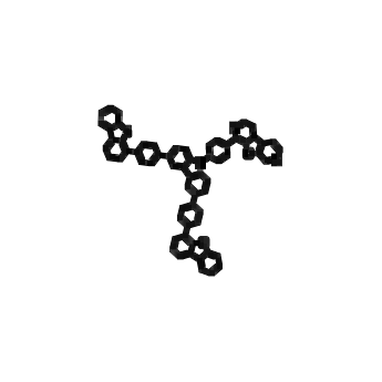 c1ccc2c(c1)oc1c(-c3ccc(-c4ccc5c(c4)c4cc(-c6ccc(-c7cccc8c7sc7ccccc78)cc6)ccc4n5-c4ccc(-c5nccc6c5oc5cnccc56)cc4)cc3)cccc12